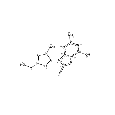 CC(=O)OC1CC(CO)OC1n1c(=O)sc2c(O)nc(N)nc21